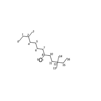 CCC(C)CCCCC([O])CCC(C)(C)CC